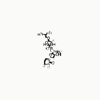 CCCC(CCC)COC(=O)[C@H](C)NP(=O)(O)OC[C@@]1(N=[N+]=[N-])O[C@@H](n2ccc(=O)[nH]c2=O)[C@@H](C)[C@@H]1O